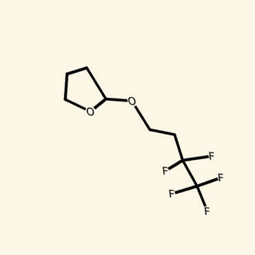 FC(F)(F)C(F)(F)CCOC1CCCO1